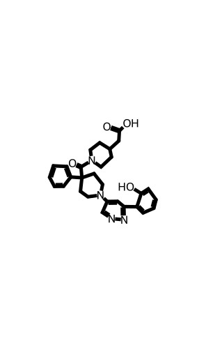 O=C(O)CC1CCN(C(=O)C2(c3ccccc3)CCN(c3cnnc(-c4ccccc4O)c3)CC2)CC1